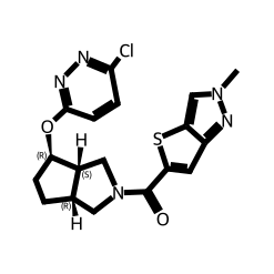 Cn1cc2sc(C(=O)N3C[C@@H]4CC[C@@H](Oc5ccc(Cl)nn5)[C@@H]4C3)cc2n1